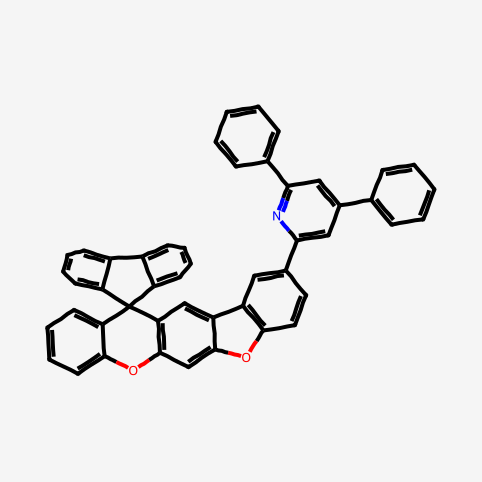 c1ccc(-c2cc(-c3ccccc3)nc(-c3ccc4oc5cc6c(cc5c4c3)C3(c4ccccc4O6)c4ccccc4-c4ccccc43)c2)cc1